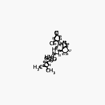 Cc1cc(S(=O)(=O)NC(=O)NC/C(F)=C2\CCCc3cnn(Cc4ccc(Cl)cc4Cl)c32)sc1C